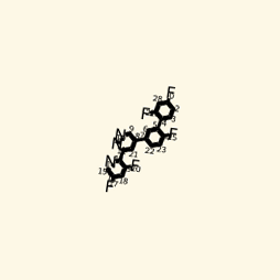 Fc1ccc(-c2cc(-c3cnnc(-c4ncc(F)cc4F)c3)ccc2F)c(F)c1